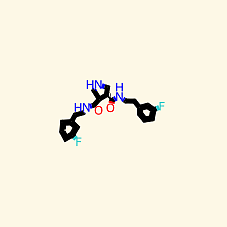 O=C(NCCc1cccc(F)c1)C1CNC[C@H]1C(=O)NCCc1cccc(F)c1